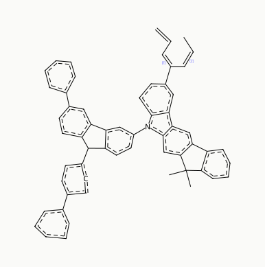 C=C/C=C(\C=C/C)c1ccc2c(c1)c1cc3c(cc1n2-c1ccc2c(c1)-c1cc(-c4ccccc4)ccc1C2c1ccc(-c2ccccc2)cc1)C(C)(C)c1ccccc1-3